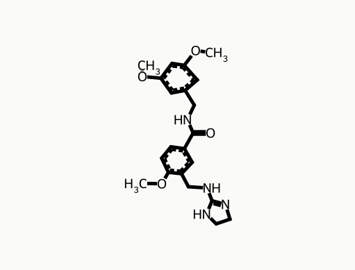 COc1cc(CNC(=O)c2ccc(OC)c(CNC3=NCCN3)c2)cc(OC)c1